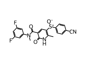 Cc1[nH]c(=O)c(C(=O)N(C)c2cc(F)cc(F)c2)cc1[S+]([O-])c1ccc(C#N)cc1